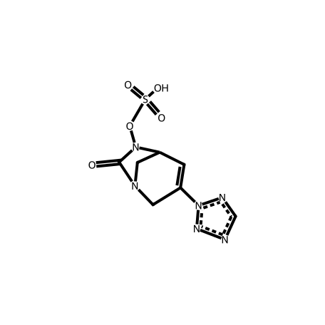 O=C1N2CC(n3ncnn3)=CC(C2)N1OS(=O)(=O)O